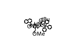 COCCC1CN(C(=O)c2cccc3ccccc23)CCN1CC(CSC(c1ccccc1)(c1ccccc1)c1ccccc1)NC(=O)OC(C)(C)C